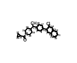 CC(c1ccc(-c2cc3ncccc3cc2Cl)cc1)C1CCN(C(=O)C2CC2)CC1